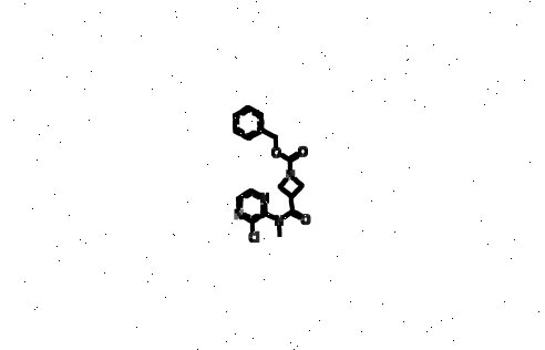 CN(C(=O)C1CN(C(=O)OCc2ccccc2)C1)c1nccnc1Cl